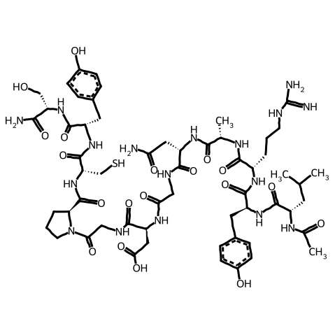 CC(=O)N[C@@H](CC(C)C)C(=O)N[C@@H](Cc1ccc(O)cc1)C(=O)N[C@@H](CCCNC(=N)N)C(=O)N[C@@H](C)C(=O)N[C@@H](CC(N)=O)C(=O)NCC(=O)N[C@@H](CC(=O)O)C(=O)NCC(=O)N1CCC[C@H]1C(=O)N[C@@H](CS)C(=O)N[C@@H](Cc1ccc(O)cc1)C(=O)N[C@@H](CO)C(N)=O